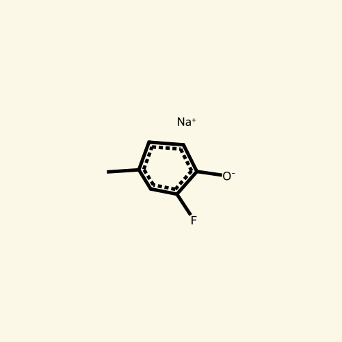 Cc1ccc([O-])c(F)c1.[Na+]